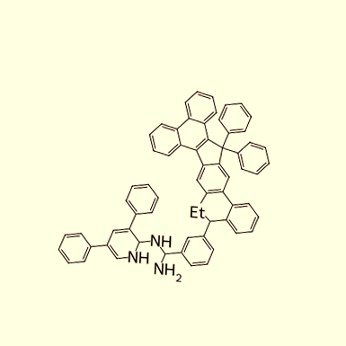 CCC(c1cccc(C(N)NC2NC=C(c3ccccc3)C=C2c2ccccc2)c1)c1ccccc1-c1cc2c(cc1C)-c1c(c3ccccc3c3ccccc13)C2(c1ccccc1)c1ccccc1